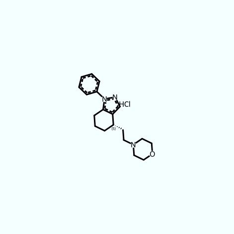 Cl.c1ccc(-n2ncc3c2CCC[C@H]3CCN2CCOCC2)cc1